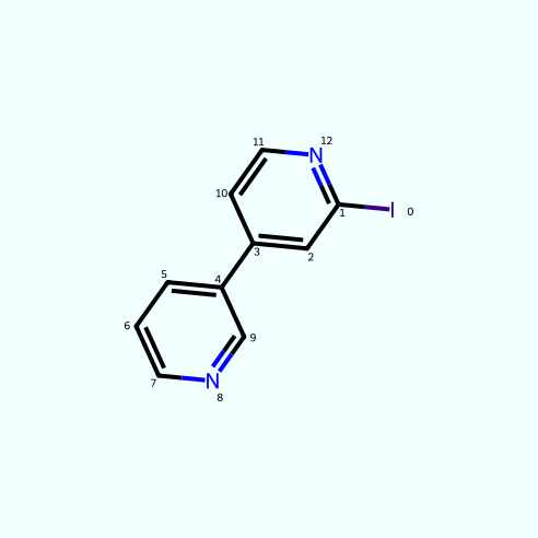 Ic1cc(-c2cccnc2)ccn1